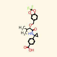 CC(C)[C@@H](OCc1ccc2c(c1)OC(F)(F)O2)C(=O)NC1(c2ccc(C(=O)O)cc2)CC1